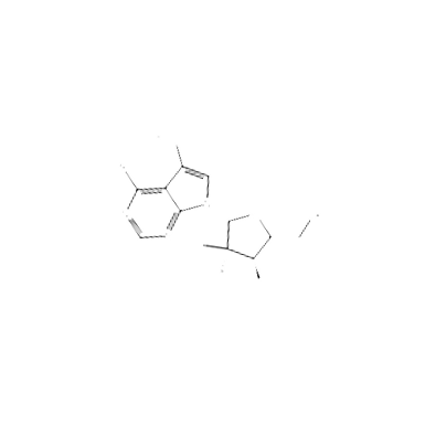 C[C@@]1(O)[C@H](O)[C@@H](CO)O[C@H]1n1cc(C(=O)O)c2c(N)ncnc21